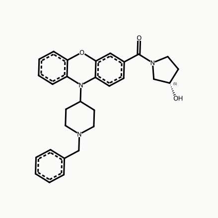 O=C(c1ccc2c(c1)Oc1ccccc1N2C1CCN(Cc2ccccc2)CC1)N1CC[C@H](O)C1